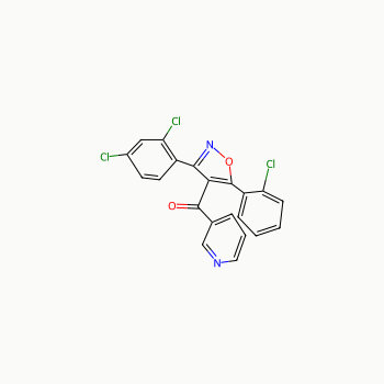 O=C(c1cccnc1)c1c(-c2ccc(Cl)cc2Cl)noc1-c1ccccc1Cl